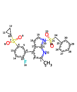 Cc1cc(-c2cc(S(=O)(=O)C3CC3)ccc2F)c2ccn(S(=O)(=O)Cc3ccccc3)c2n1